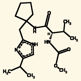 COC(=O)N[C@H](C(=O)NC1(Cc2nc(C(C)C)c[nH]2)CCCC1)C(C)C